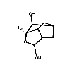 OC1O[C@H]2C(O)C3CC1C2C3